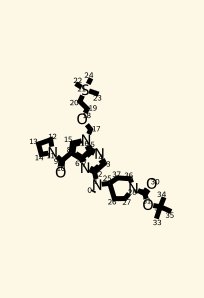 CN(c1cnc2c(n1)c(C(=O)N1CCC1)cn2COCCS(C)(C)C)C1CCN(C(=O)OC(C)(C)C)CC1